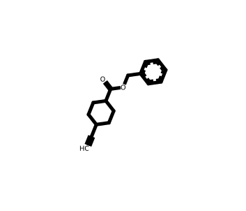 C#CC1CCC(C(=O)OCc2ccccc2)CC1